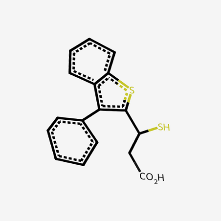 O=C(O)CC(S)c1sc2ccccc2c1-c1ccccc1